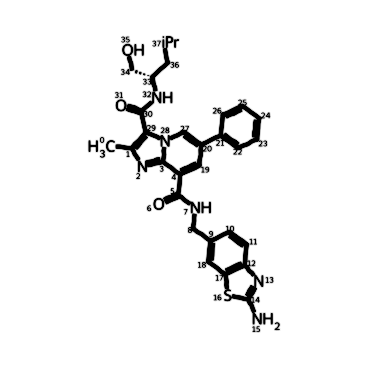 Cc1nc2c(C(=O)NCc3ccc4nc(N)sc4c3)cc(-c3ccccc3)cn2c1C(=O)N[C@H](CO)CC(C)C